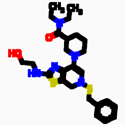 CCN(CC)C(=O)C1CCCN(C2=CN(SCc3ccccc3)Cc3sc(NCCO)nc32)C1